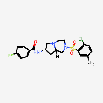 O=C(N[C@H]1C[C@H]2CN(S(=O)(=O)c3cc(C(F)(F)F)ccc3Cl)CCN2C1)c1ccc(F)cc1